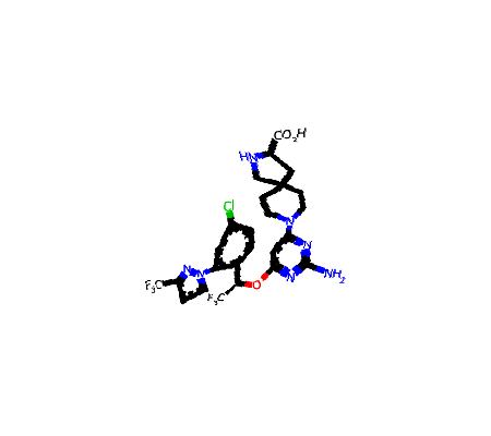 Nc1nc(O[C@H](c2ccc(Cl)cc2-n2ccc(C(F)(F)F)n2)C(F)(F)F)cc(N2CCC3(CC2)CNC(C(=O)O)C3)n1